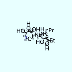 CCCC(=S)NC(CNC1CC/C=C\C(O)C(O)C1O)C(O)CC(O)CC